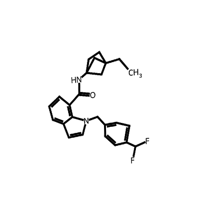 CCC12CCC(NC(=O)c3cccc4ccn(Cc5ccc(C(F)F)cc5)c34)(C1)C2